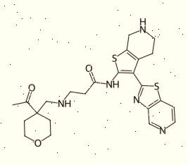 CC(=O)C1(CNCCC(=O)Nc2sc3c(c2-c2nc4cnccc4s2)CCNC3)CCOCC1